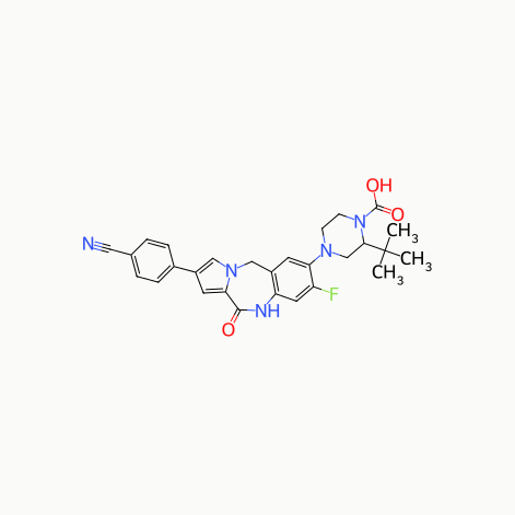 CC(C)(C)C1CN(c2cc3c(cc2F)NC(=O)c2cc(-c4ccc(C#N)cc4)cn2C3)CCN1C(=O)O